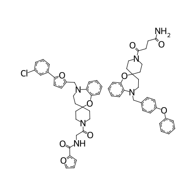 NC(=O)CCC(=O)N1CCC2(CC1)CCN(Cc1ccc(Oc3ccccc3)cc1)c1ccccc1O2.O=C(NCC(=O)N1CCC2(CC1)CCN(Cc1ccc(-c3cccc(Cl)c3)o1)c1ccccc1O2)c1ccco1